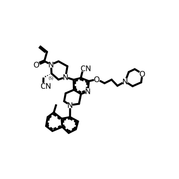 C=CC(=O)N1CCN(c2c(C#N)c(OCCCN3CCOCC3)nc3c2CCN(c2cccc4cccc(C)c24)C3)C[C@@H]1CC#N